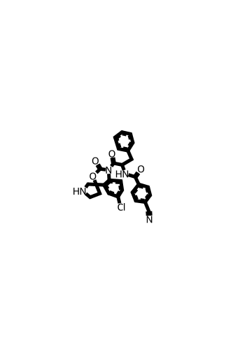 N#Cc1ccc(C(=O)NC(Cc2ccccc2)C(=O)N2C(=O)OC3(CCNC3)c3cc(Cl)ccc32)cc1